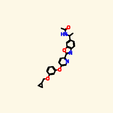 CC(=O)NC(C)c1ccc2nc(-c3ccc(Oc4cccc(OCC5CC5)c4)cn3)oc2c1